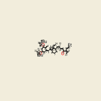 C=C1/C(=C\C=C2/CCC[C@]3(C)[C@@H]([C@H](C)/C=C/C(=O)C4(/C=C/CC)CC4)CC[C@@H]23)C[C@@H](O[Si](C)(C)C(C)(C)C)C[C@@H]1O[Si](C)(C)C(C)(C)C